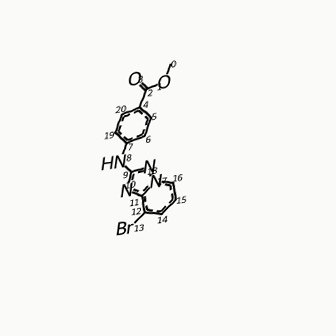 COC(=O)c1ccc(Nc2nc3c(Br)cccn3n2)cc1